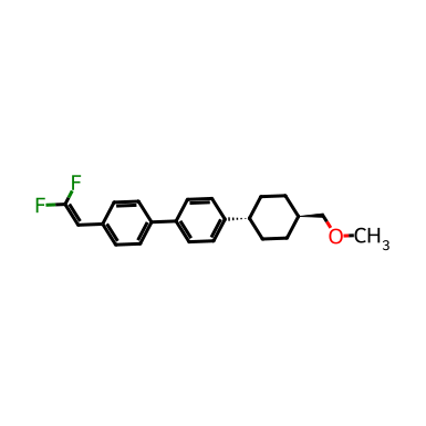 COC[C@H]1CC[C@H](c2ccc(-c3ccc(C=C(F)F)cc3)cc2)CC1